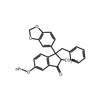 CCCOc1ccc2c(c1)C(=O)C(C(=O)O)C2(Cc1ccccc1)c1ccc2c(c1)OCO2